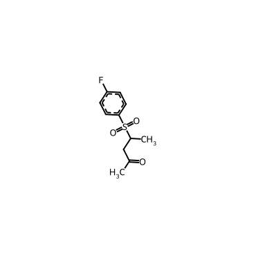 CC(=O)CC(C)S(=O)(=O)c1ccc(F)cc1